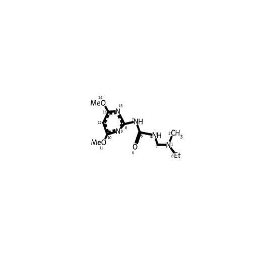 CCN(C)CNC(=O)Nc1nc(OC)cc(OC)n1